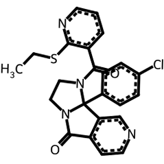 CCSc1ncccc1C(=O)N1CCN2C(=O)c3ccncc3C21c1ccc(Cl)cc1